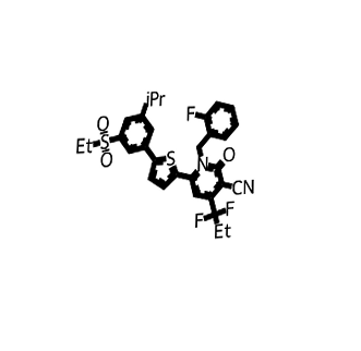 CCC(F)(F)c1cc(-c2ccc(-c3cc(C(C)C)cc(S(=O)(=O)CC)c3)s2)n(Cc2ccccc2F)c(=O)c1C#N